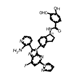 Nc1ncccc1-c1nc2c(F)cc(-n3cccn3)nc2n1-c1ccc2c(c1)CC[C@@H]2NC(=O)c1ccc(O)c(C=O)c1